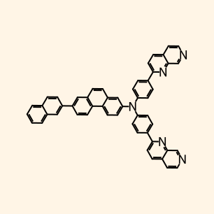 c1ccc2cc(-c3ccc4c(ccc5cc(N(c6ccc(-c7ccc8ccncc8n7)cc6)c6ccc(-c7ccc8ccncc8n7)cc6)ccc54)c3)ccc2c1